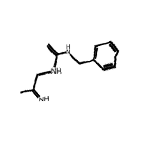 C=C(NCC(C)=N)NCc1ccccc1